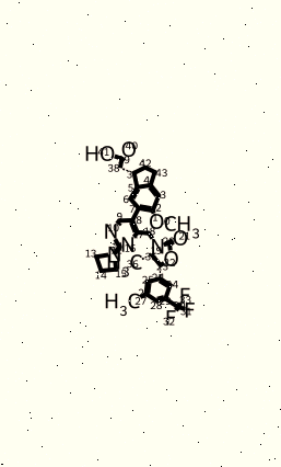 COc1cc2c(cc1-c1cnc(N3CCC3)nc1CN1C(=O)O[C@H](c3cc(C)cc(C(F)(F)F)c3)[C@@H]1C)[C@H](CC(=O)O)CC2